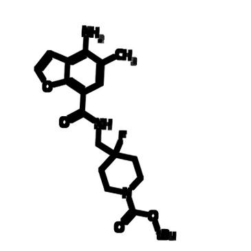 Cc1cc(C(=O)NCC2(F)CCN(C(=O)OC(C)(C)C)CC2)c2occc2c1N